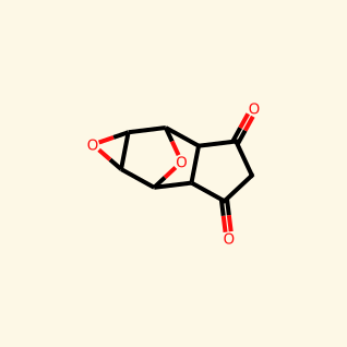 O=C1CC(=O)C2C3OC(C4OC43)C12